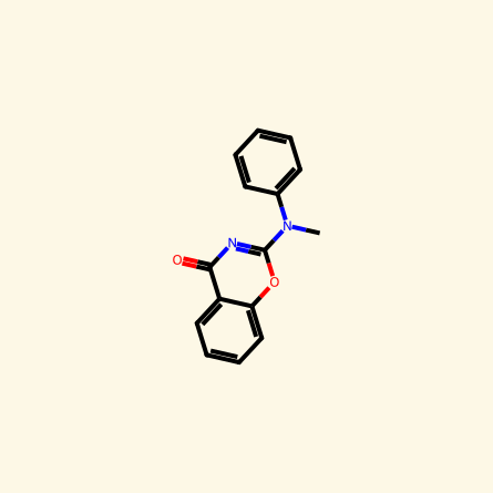 CN(c1ccccc1)c1nc(=O)c2ccccc2o1